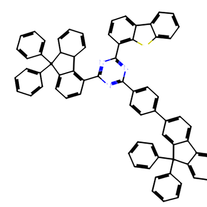 C1=CC2c3c(-c4nc(-c5ccc(-c6ccc7c(c6)C(c6ccccc6)(c6ccccc6)c6ccccc6-7)cc5)nc(-c5cccc6c5sc5ccccc56)n4)cccc3C(c3ccccc3)(c3ccccc3)C2C=C1